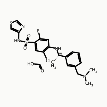 C[C@H](Nc1cc(F)c(S(=O)(=O)Nc2cscn2)cc1Cl)c1cccc(CN(C)C)c1.O=CO